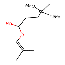 CO[Si](C)(CCC(O)OC=C(C)C)OC